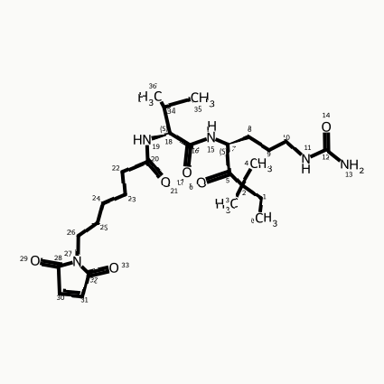 CCC(C)(C)C(=O)[C@H](CCCNC(N)=O)NC(=O)[C@@H](NC(=O)CCCCCN1C(=O)C=CC1=O)C(C)C